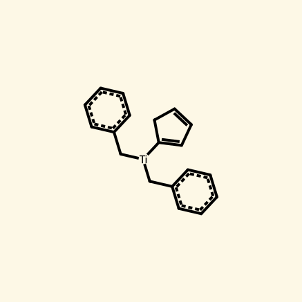 C1=CC[C]([Ti]([CH2]c2ccccc2)[CH2]c2ccccc2)=C1